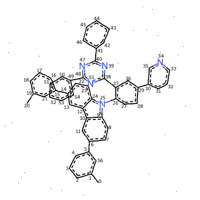 Cc1cccc(-c2ccc3c(c2)c2cc(-c4cccc(C)c4)ccc2n3-c2ccc(-c3cccnc3)cc2-c2nc(-c3ccccc3)nc(-c3ccccc3)n2)c1